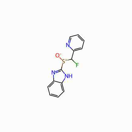 [O-][S+](c1nc2ccccc2[nH]1)C(F)c1ccccn1